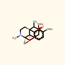 CCO[C@@]12CCC(=O)C(C)[C@@]13CCN(C)[C@@H]2Cc1ccc(OC)c(OC)c13